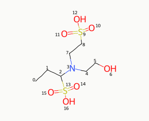 CCC(N(CCO)CCS(=O)(=O)O)S(=O)(=O)O